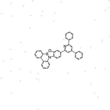 c1ccc(-c2cc(-c3ccccc3)nc(-c3ccc4c(c3)OB3c5ccccc5-c5ccccc5N34)c2)cc1